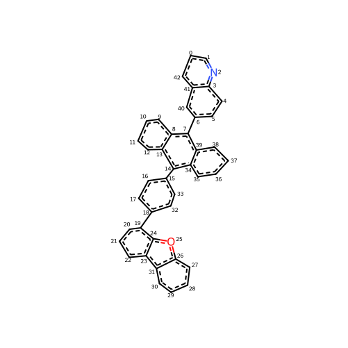 c1cnc2ccc(-c3c4ccccc4c(-c4ccc(-c5cccc6c5oc5ccccc56)cc4)c4ccccc34)cc2c1